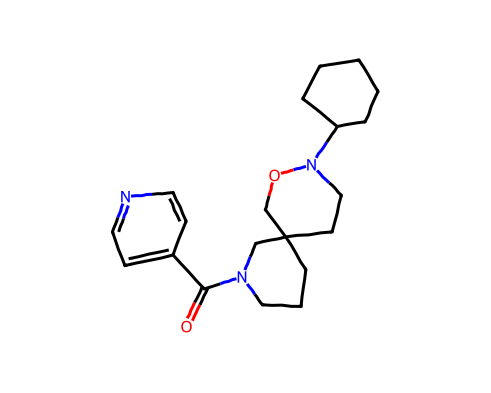 O=C(c1ccncc1)N1CCCC2(CCN(C3CCCCC3)OC2)C1